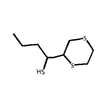 CCCC(S)C1CSCCS1